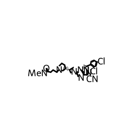 CNC(=O)CCCN1CCC[C@H](C2CN(c3cnc4c(C#N)nn([C@H](C)c5ccc(Cl)cc5Cl)c4n3)C2)C1